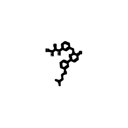 CCNC(=O)Nc1cccc(Cn2nc(-c3cccc(OCCN(C)C)c3)ccc2=O)c1